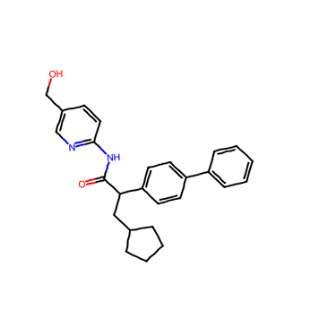 O=C(Nc1ccc(CO)cn1)C(CC1CCCC1)c1ccc(-c2ccccc2)cc1